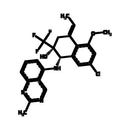 C/C=C1\C[C@](O)(C(F)(F)F)[C@@H](Nc2cccc3nc(C)ncc23)c2cc(Cl)cc(OC)c21